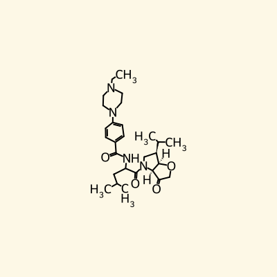 CCN1CCN(c2ccc(C(=O)NC(CC(C)C)C(=O)N3C[C@@H](C(C)C)[C@H]4OCC(=O)[C@H]43)cc2)CC1